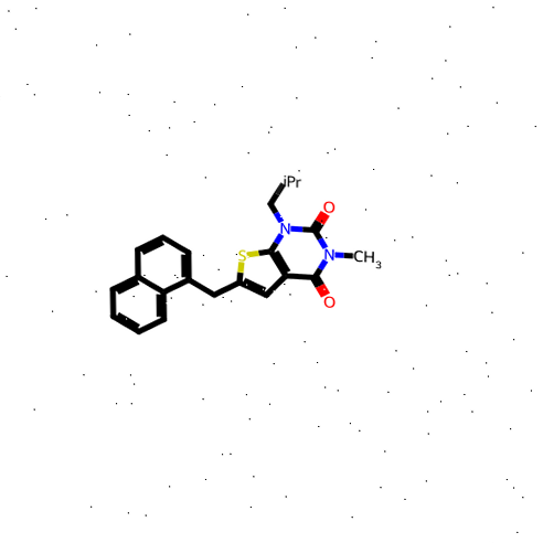 CC(C)Cn1c(=O)n(C)c(=O)c2cc(Cc3cccc4ccccc34)sc21